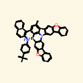 Cc1cc(-c2c(Nc3ccc(C(C)(C)C)cc3)ccc3ccccc23)c2c3c1c1cc4oc5ccccc5c4cc1n3-c1cc3c(cc1B2)oc1ccccc13